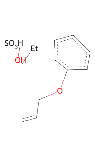 C=CCOc1ccccc1.CCC.O=S(=O)(O)O